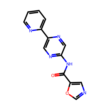 O=C(Nc1cnc(-c2ccccn2)cn1)c1cnco1